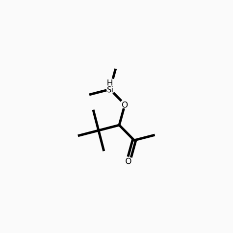 CC(=O)C(O[SiH](C)C)C(C)(C)C